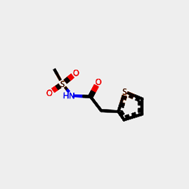 CS(=O)(=O)NC(=O)Cc1cccs1